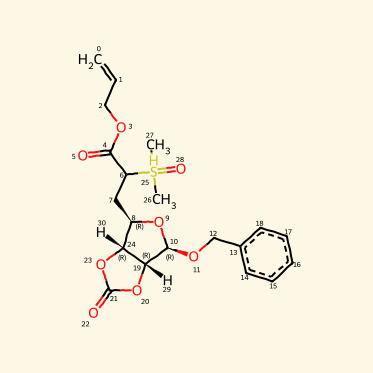 C=CCOC(=O)C(C[C@H]1O[C@@H](OCc2ccccc2)[C@@H]2OC(=O)O[C@@H]21)[SH](C)(C)=O